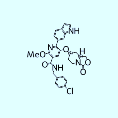 COc1nc(-c2ccc3cc[nH]c3c2)c(O[C@H]2CCN3C(=O)OC[C@@H]3C2)cc1C(=O)NCc1ccc(Cl)cc1